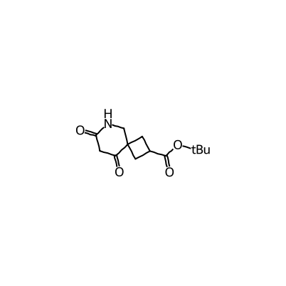 CC(C)(C)OC(=O)C1CC2(CNC(=O)CC2=O)C1